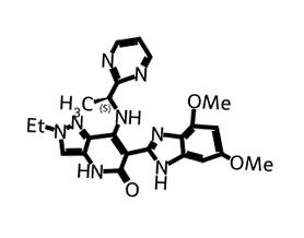 CCn1cc2[nH]c(=O)c(-c3nc4c(OC)cc(OC)cc4[nH]3)c(N[C@@H](C)c3ncccn3)c2n1